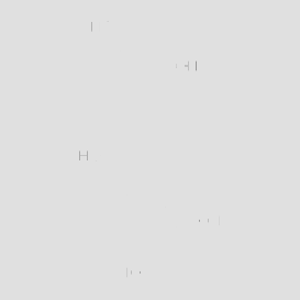 Oc1cc(O)cc(OCC(O)COc2cc(O)cc(O)c2)c1